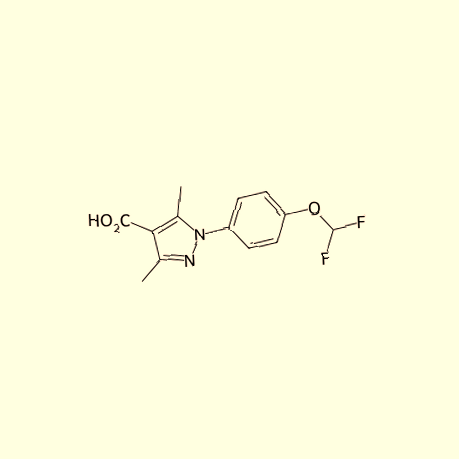 Cc1nn(-c2ccc(OC(F)F)cc2)c(C)c1C(=O)O